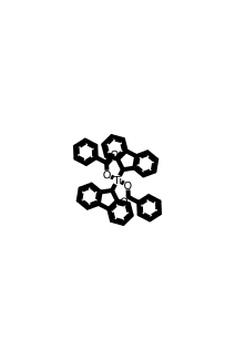 O=C([O][Ti]([O]C(=O)c1ccccc1)([CH]1c2ccccc2-c2ccccc21)[CH]1c2ccccc2-c2ccccc21)c1ccccc1